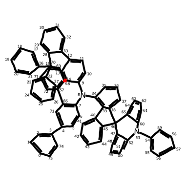 c1ccc(-c2ccc(N(c3ccc4c(c3)C(c3ccccc3)(c3ccccc3)c3ccccc3-4)c3cccc4c3-c3ccccc3C43c4ccccc4N(c4ccccc4)c4ccccc43)c(-c3ccccc3)c2)cc1